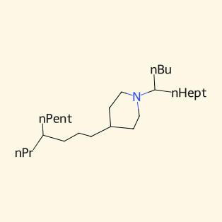 CCCCCCCC(CCCC)N1CCC(CCCC(CCC)CCCCC)CC1